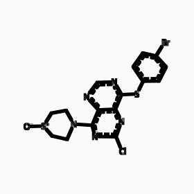 [O-][S+]1CCN(c2nc(Cl)nc3c(Sc4ccc(Br)cc4)ncnc23)CC1